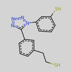 SCCc1cccc(-c2nnnn2-c2cccc(S)c2)c1